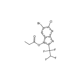 CCC(=O)On1c(C(F)(F)C(F)F)nc2nc(Cl)c(Br)cc21